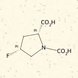 O=C(O)[C@H]1C[C@@H](F)CN1C(=O)O